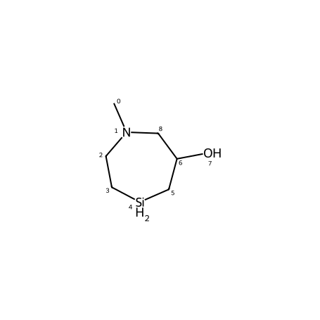 CN1CC[SiH2]CC(O)C1